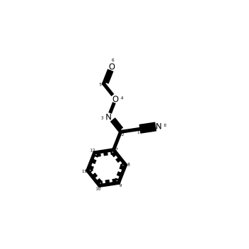 N#CC(=NO[C]=O)c1ccccc1